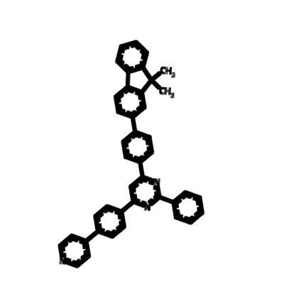 CC1(C)c2ccccc2-c2ccc(-c3ccc(-c4cc(-c5ccc(-c6ccncc6)cc5)nc(-c5ccccc5)n4)cc3)cc21